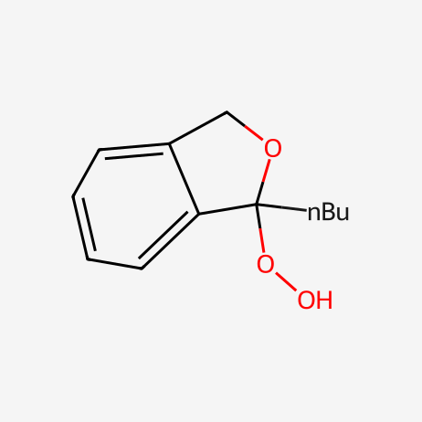 CCCCC1(OO)OCc2ccccc21